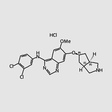 COc1cc2c(Nc3ccc(Cl)c(Cl)c3)ncnc2cc1O[C@H]1C[C@H]2CNC[C@H]2C1.Cl